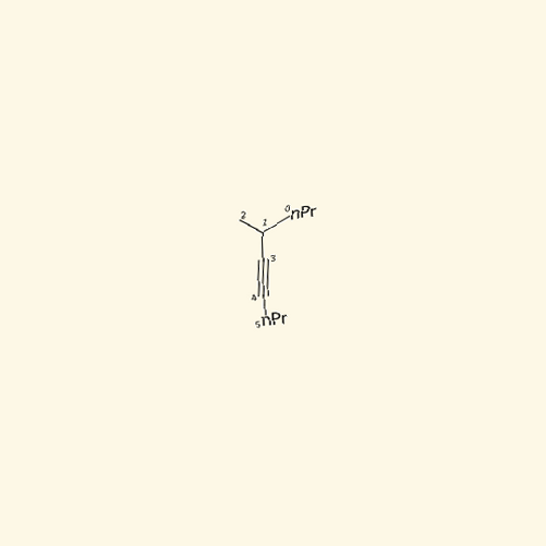 [CH2]CCC(C)C#CCCC